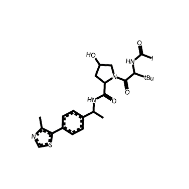 Cc1ncsc1-c1ccc(C(C)NC(=O)C2CC(O)CN2C(=O)C(NC(=O)I)C(C)(C)C)cc1